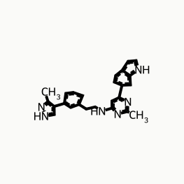 Cc1nc(NCCc2cccc(-c3c[nH]nc3C)c2)cc(-c2ccc3cc[nH]c3c2)n1